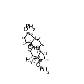 C[C@]12CCC3C(CC=C4C[C@@H](OP)CC[C@@]43C=O)C1CC[C@@H]2OP